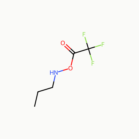 CCCNOC(=O)C(F)(F)F